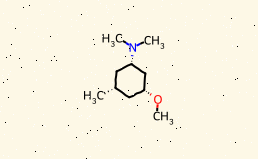 CO[C@@H]1C[C@H](C)C[C@H](N(C)C)C1